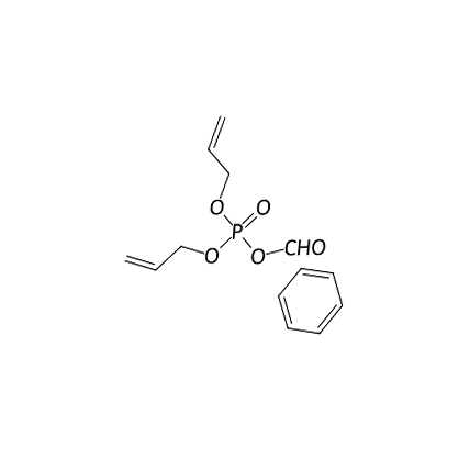 C=CCOP(=O)(OC=O)OCC=C.c1ccccc1